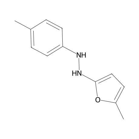 Cc1ccc(NNc2ccc(C)o2)cc1